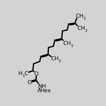 CCCCCCNC(=O)OC(C)CC/C=C(\C)CC/C=C(\C)CCC=C(C)C